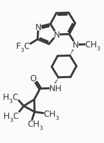 CN(c1cccc2nc(C(F)(F)F)cn12)[C@H]1CC[C@@H](NC(=O)C2C(C)(C)C2(C)C)CC1